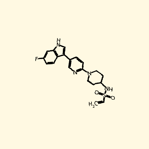 C=CS(=O)(=O)NC1CCN(c2ccc(-c3c[nH]c4cc(F)ccc34)cn2)CC1